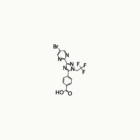 O=C(O)c1ccc(-c2nc(-c3ncc(Br)cn3)nn2CC(F)(F)F)cc1